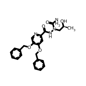 C[C@H](O)CN(NC(=O)c1cc(OCc2ccccc2)c(OCc2ccccc2)cn1)C(N)=O